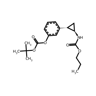 CCCOC(=O)N[C@@H]1C[C@H]1c1cccc(OC(=O)OC(C)(C)C)c1